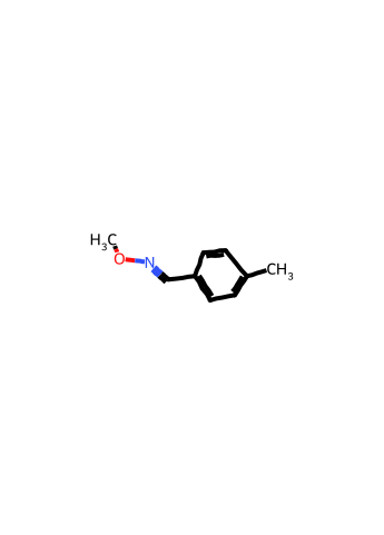 CON=Cc1ccc(C)cc1